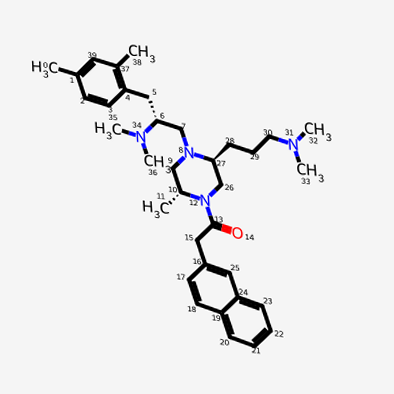 Cc1ccc(C[C@H](CN2C[C@@H](C)N(C(=O)Cc3ccc4ccccc4c3)C[C@@H]2CCCN(C)C)N(C)C)c(C)c1